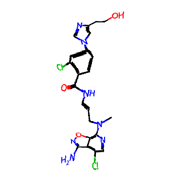 CN(C/C=C/NC(=O)c1ccc(-n2cnc(CCO)c2)cc1Cl)c1ncc(Cl)c2c(N)noc12